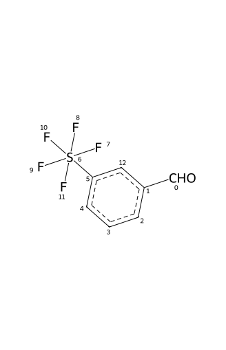 O=Cc1cccc(S(F)(F)(F)(F)F)c1